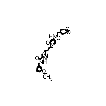 CC(F)(F)Oc1cccc(CNC(=O)c2cn(CCCCn3ccc(NC(=O)CC4CCS(=O)(=O)CC4)cc3=O)nn2)c1